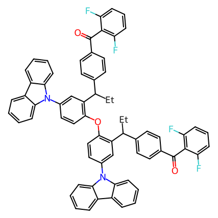 CCC(c1ccc(C(=O)c2c(F)cccc2F)cc1)c1cc(-n2c3ccccc3c3ccccc32)ccc1Oc1ccc(-n2c3ccccc3c3ccccc32)cc1C(CC)c1ccc(C(=O)c2c(F)cccc2F)cc1